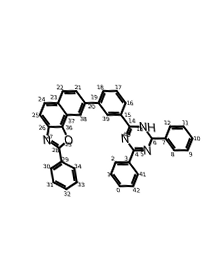 c1ccc(C2=NC(c3ccccc3)NC(c3cccc(-c4ccc5ccc6nc(-c7ccccc7)oc6c5c4)c3)=N2)cc1